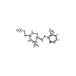 CCC[C@H]1OC[C@@H](OCc2ccccc2C)[C@@H](C)O1